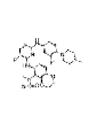 CCc1cc(Nc2ncc(F)c(Nc3ccc4c(c3N(C)S(C)(=O)=O)OCCO4)n2)ccc1N1CCN(C)CC1